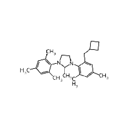 Cc1cc(C)c(N2CCN(c3c(C)cc(C)cc3CC3CCC3)C2C)c(C)c1